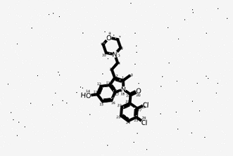 Cc1c(CCN2CCOCC2)c2cc(O)ccc2n1C(=O)c1cccc(Cl)c1Cl